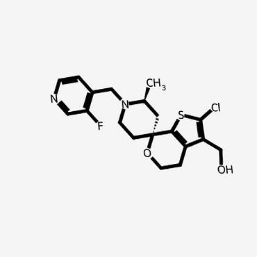 C[C@H]1C[C@@]2(CCN1Cc1ccncc1F)OCCc1c2sc(Cl)c1CO